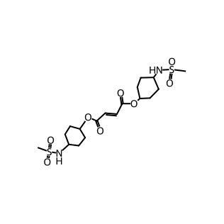 CS(=O)(=O)NC1CCC(OC(=O)/C=C/C(=O)OC2CCC(NS(C)(=O)=O)CC2)CC1